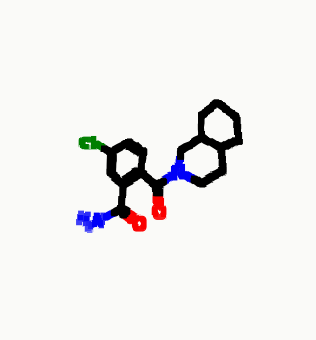 NC(=O)c1cc(Cl)ccc1C(=O)N1CCC2CCCCC2C1